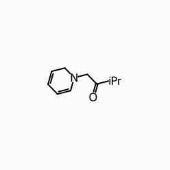 CC(C)C(=O)CN1C=CC=CC1